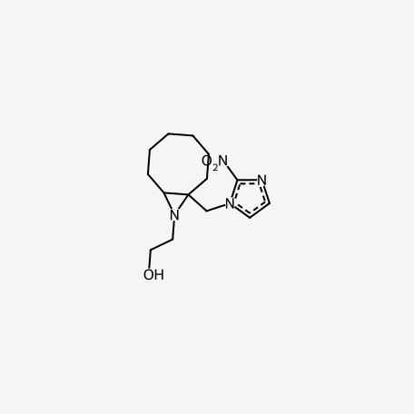 O=[N+]([O-])c1nccn1CC12CCCCCCC1N2CCO